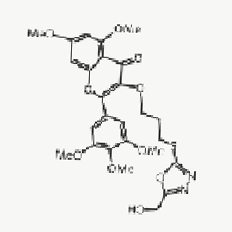 COc1cc(OC)c2c(=O)c(OCCCSc3nnc(CO)o3)c(-c3cc(OC)c(OC)c(OC)c3)oc2c1